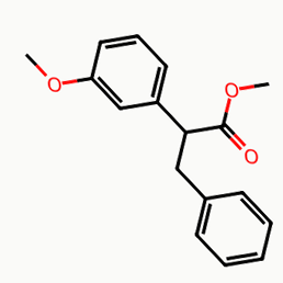 COC(=O)C(Cc1ccccc1)c1cccc(OC)c1